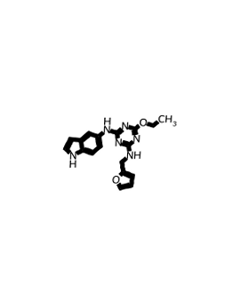 CCOc1nc(NCc2ccco2)nc(Nc2ccc3[nH]ccc3c2)n1